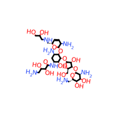 NC[C@@H](O)C(O)C(=O)N[C@@H]1C[C@H](N)[C@@H](O[C@H]2O[C@H](CNCC(O)CO)C=C[C@H]2N)[C@H](O[C@@H]2O[C@H](CO)[C@@H](O[C@H]3O[C@@H](CN)[C@@H](O)[C@H](O)[C@H]3N)[C@H]2O)[C@H]1O